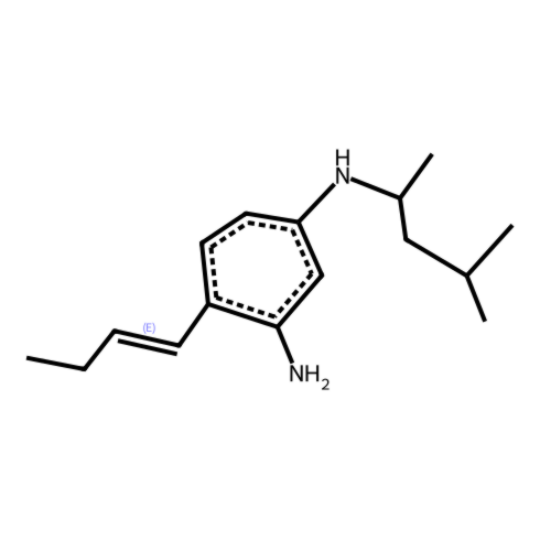 CC/C=C/c1ccc(NC(C)CC(C)C)cc1N